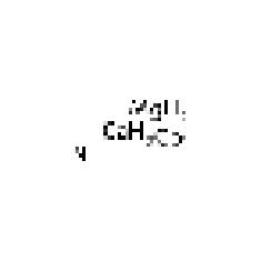 [CaH2].[Co].[MgH2].[Ni]